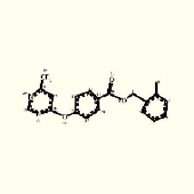 Cc1ccccc1COC(=O)c1ccc(Oc2cc(C(F)(F)F)ncn2)cc1